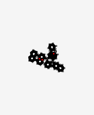 c1ccc(-c2cccc3cccc(-c4ccc(N(c5ccc6oc7ccccc7c6c5)c5cccc6c7cc8ccccc8cc7n(-c7ccccc7)c56)cc4)c23)cc1